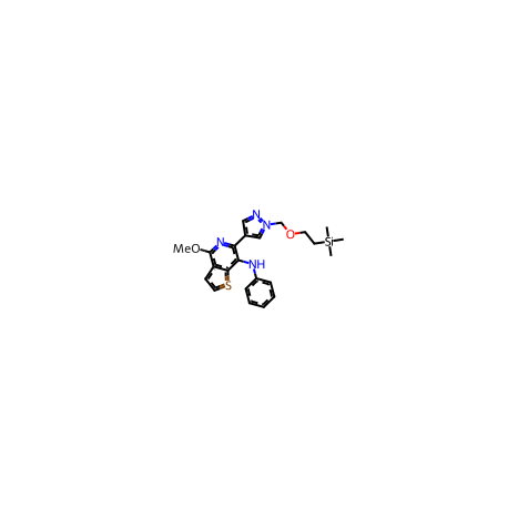 COc1nc(-c2cnn(COCC[Si](C)(C)C)c2)c(Nc2ccccc2)c2sccc12